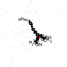 C=C(CO)C(=O)Oc1ccc(C2(c3ccc(OC(=O)C(=C)CO)cc3)CCC(c3ccc(C4CCC(CCC5CCC(CCCCC)CC5)CC4)cc3)CC2)cc1